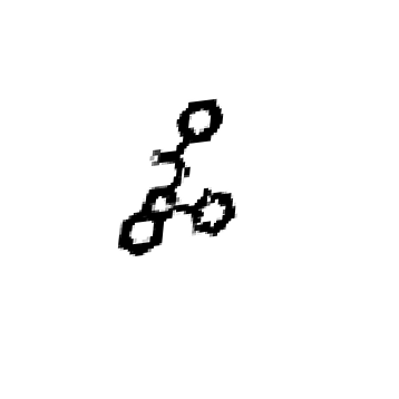 O=C(Oc1cc2ccccc2n1-c1ncccn1)c1ccccc1